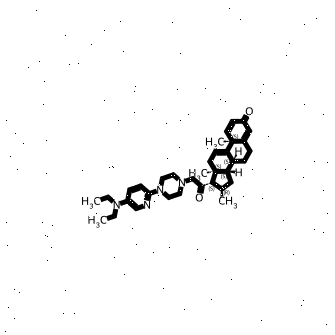 CCN(CC)c1ccc(N2CCN(CC(=O)[C@H]3[C@H](C)C[C@H]4[C@@H]5CCC6=CC(=O)C=C[C@]6(C)C5=CC[C@@]43C)CC2)nc1